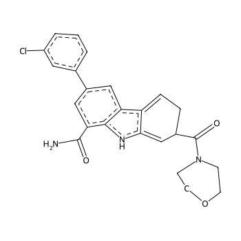 NC(=O)c1cc(-c2cccc(Cl)c2)cc2c3c([nH]c12)=CC(C(=O)N1CCOCC1)CC=3